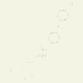 CCO[Si](CCCNC(=O)Oc1ccc(C(C)(C)c2ccc(O)cc2)cc1)(OCC)OCC